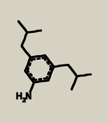 CC(C)Cc1cc(N)cc(CC(C)C)c1